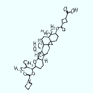 CC(C)C(OC(=O)N1CCC1)C1CC[C@H]2C(O1)[C@H](O)[C@@]1(C)C3CC[C@H]4C(C)(C)C(OC(=O)N5CC(C(=O)O)C5)CCC45CC35CCC21C